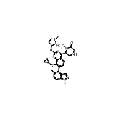 Cc1ccc2[nH]ncc2c1-c1ccc2c(C3CNCC(Cl)N3C(=O)O)nc(O[C@H]3CCN(C)C3)nc2c1OC1CC1